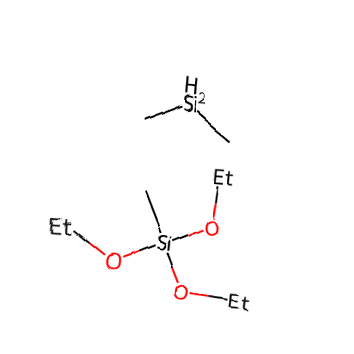 CCO[Si](C)(OCC)OCC.C[SiH2]C